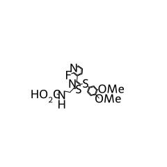 COc1ccc(Sc2sc(CCNC(=O)O)nc2-c2cccnc2F)cc1OC